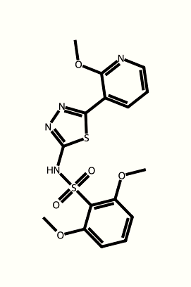 COc1cccc(OC)c1S(=O)(=O)Nc1nnc(-c2cccnc2OC)s1